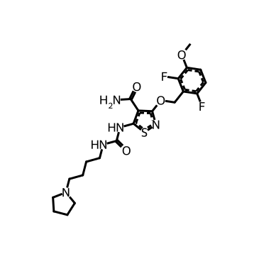 COc1ccc(F)c(COc2nsc(NC(=O)NCCCCN3CCCC3)c2C(N)=O)c1F